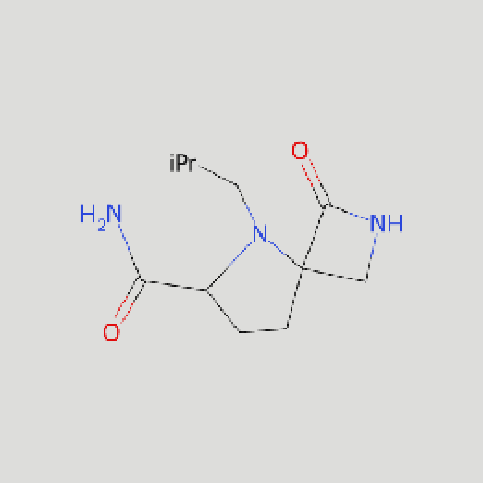 CC(C)CN1C(C(N)=O)CCC12CNC2=O